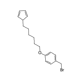 BrCc1ccc(OCCCCCCC2C=CC=C2)cc1